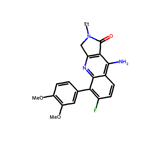 CCN1Cc2nc3c(-c4ccc(OC)c(OC)c4)c(F)ccc3c(N)c2C1=O